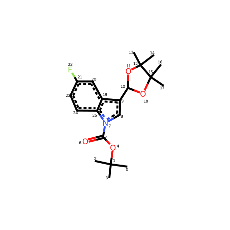 CC(C)(C)OC(=O)n1cc(C2OC(C)(C)C(C)(C)O2)c2cc(F)ccc21